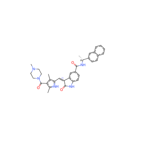 Cc1[nH]c(/C=C2\C(=O)Nc3ccc(C(=O)N[C@H](C)c4ccc5ccccc5c4)cc32)c(C)c1C(=O)N1CCN(C)CC1